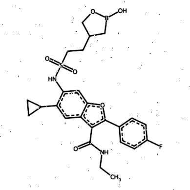 CCNC(=O)c1c(-c2ccc(F)cc2)oc2cc(NS(=O)(=O)CCC3COB(O)C3)c(C3CC3)cc12